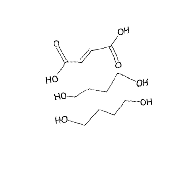 O=C(O)C=CC(=O)O.OCCCCO.OCCCCO